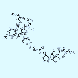 C=N/N=C(/C)N1C[C@H](CC(=O)OC)N=C(c2ccc(Cl)cc2)c2c1sc(C(=O)NCCCCNC(=O)COc1cccc3c1C(=O)N(C1CC/C(=C\C)NC1=O)C3=O)c2C